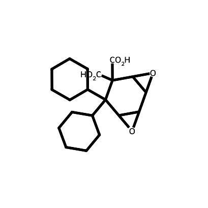 O=C(O)C1(C(=O)O)C2OC2C2OC2C1(C1CCCCC1)C1CCCCC1